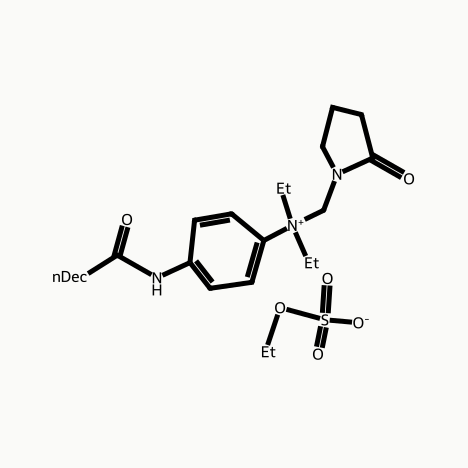 CCCCCCCCCCC(=O)Nc1ccc([N+](CC)(CC)CN2CCCC2=O)cc1.CCOS(=O)(=O)[O-]